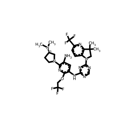 CN(C)[C@@H]1CCN(c2nc(OCC(F)(F)F)c(Nc3ncnc(N4CC(C)(C)c5nc(C(F)(F)F)ccc54)n3)cc2N)C1